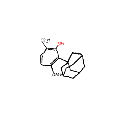 COc1ccc(C(=O)O)c(O)c1C12CC3CC(CC(C3)C1)C2